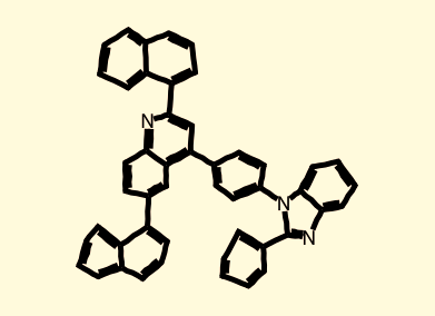 c1ccc(-c2nc3ccccc3n2-c2ccc(-c3cc(-c4cccc5ccccc45)nc4ccc(-c5cccc6ccccc56)cc34)cc2)cc1